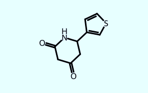 O=C1CC(=O)NC(c2ccsc2)C1